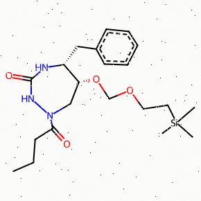 CCCC(=O)N1C[C@@H](OCOCC[Si](C)(C)C)[C@@H](Cc2ccccc2)NC(=O)N1